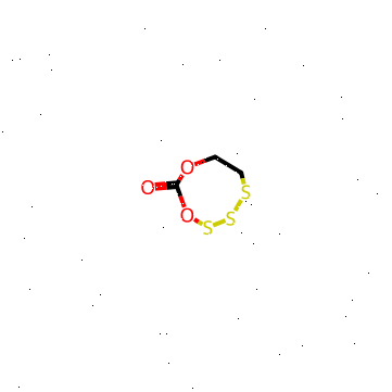 O=C1OCCSSSO1